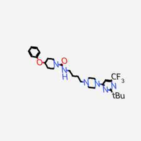 CC(C)(C)c1nc(N2CCN(CCCCNC(=O)N3CCC(Oc4ccccc4)CC3)CC2)cc(C(F)(F)F)n1